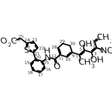 C=C/C(=C(O)\C(O)=C(/C)C1=CC(C(=O)Nc2ccccc2-c2ccc(CC(=O)O)s2)=CCC1)[N+](=O)[O-]